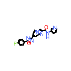 O=C(Nc1cccnc1)c1cn2ccc(-c3noc(-c4ccc(F)cc4)n3)cc2n1